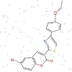 CCOc1ccc(-c2csc(-c3cc4cc(Br)ccc4oc3=O)n2)cc1